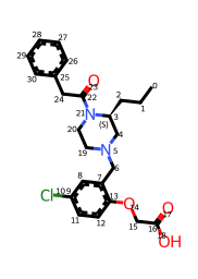 CCC[C@H]1CN(Cc2cc(Cl)ccc2OCC(=O)O)CCN1C(=O)Cc1ccccc1